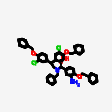 Nc1cc([C@H](CO)N(Cc2ccccc2)CC(c2ccc(OCc3ccccc3)c(Cl)c2)c2ccc(OCc3ccccc3)c(Cl)c2)ccc1OCc1ccccc1